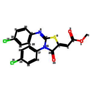 COC(=O)/C=C1\S/C(=N/c2ccc(Cl)cc2)N(c2ccc(Cl)cc2)C1=O